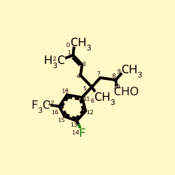 CC(C)=CCC(C)(CC(C)C=O)c1cc(F)cc(C(F)(F)F)c1